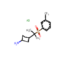 CC(C)(C1CC(N)C1)S(=O)(=O)c1cccc(C(F)(F)F)c1.Cl